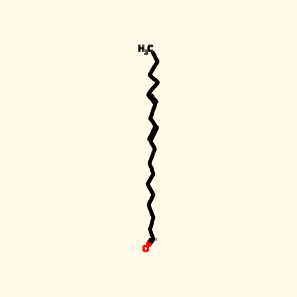 CCCCC=CCC=CCCCCCCCC[C]=O